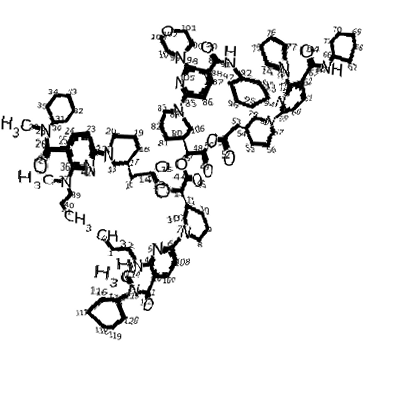 CCCNc1nc(N2CCC[C@H](C(OC(=O)C[C@@H]3CCCN(c4ccc(C(=O)N(C)C5CCCCC5)c(N(C)CCC)n4)C3)C(=O)OC(C(=O)OC(=O)C[C@@H]3CCCN(c4ccc(C(=O)NC5CCCCC5)c(N5CCCC5)n4)C3)[C@H]3CCCN(c4ccc(C(=O)NC5CCCCC5)c(N5CCOCC5)n4)C3)C2)ccc1C(=O)N(C)C1CCCCC1